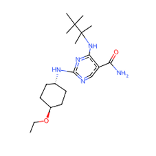 CCO[C@H]1CC[C@H](Nc2ncc(C(N)=O)c(NC(C)(C)C(C)(C)C)n2)CC1